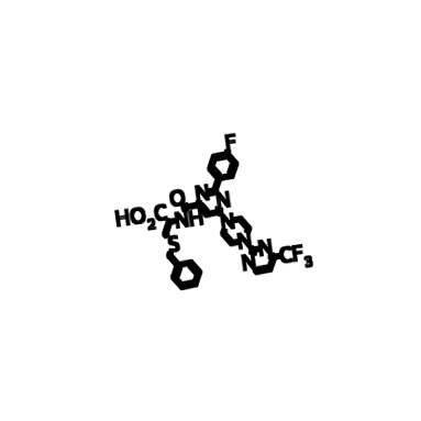 O=C(N[C@@H](CSCc1ccccc1)C(=O)O)c1cc(N2CCN(c3nccc(C(F)(F)F)n3)CC2)nc(-c2ccc(F)cc2)n1